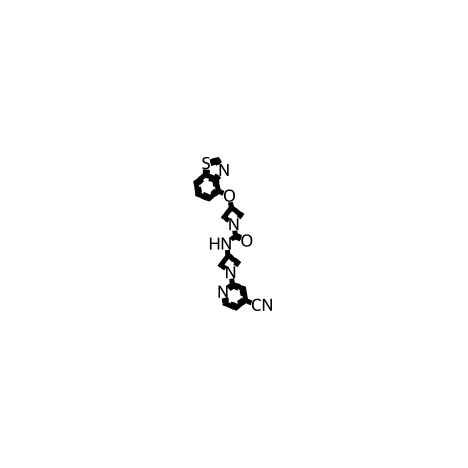 N#Cc1ccnc(N2CC(NC(=O)N3CC(Oc4cccc5scnc45)C3)C2)c1